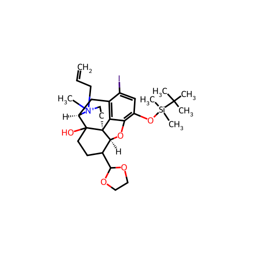 C=CC[N+]1(C)CC[C@]23c4c5c(I)cc(O[Si](C)(C)C(C)(C)C)c4O[C@H]2C(C2OCCO2)CCC3(O)[C@H]1C5